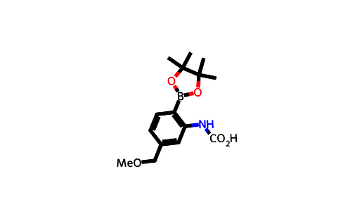 COCc1ccc(B2OC(C)(C)C(C)(C)O2)c(NC(=O)O)c1